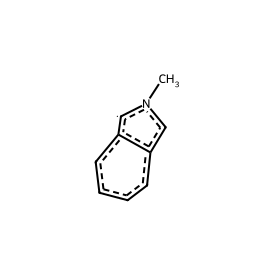 Cn1[c]c2ccccc2c1